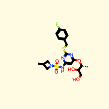 CC1CN(S(=O)(=O)Nc2cc(O[C@H](C)C(O)CO)nc(SCc3ccc(F)cc3)n2)C1